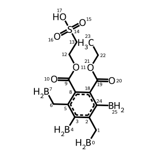 BCc1c(B)c(CB)c(C(=O)OCCS(=O)(=O)O)c(C(=O)OCC)c1B